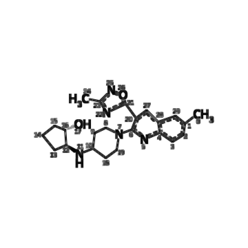 Cc1ccc2nc(N3CCC(N[C@H]4CCC[C@@H]4O)CC3)c(-c3nc(C)no3)cc2c1